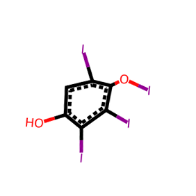 Oc1cc(I)c(OI)c(I)c1I